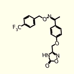 CC(=NOCc1ccc(C(F)(F)F)cc1)c1ccc(OCc2noc(=O)[nH]2)cc1